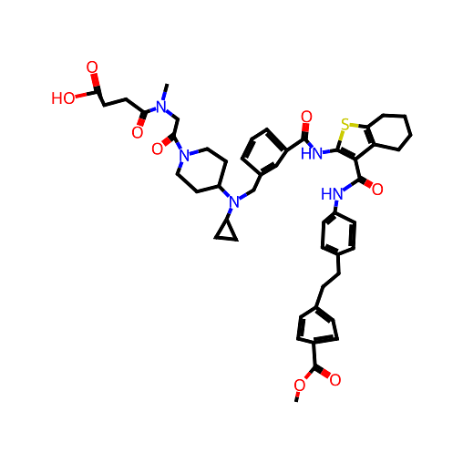 COC(=O)c1ccc(CCc2ccc(NC(=O)c3c(NC(=O)c4cccc(CN(C5CC5)C5CCN(C(=O)CN(C)C(=O)CCC(=O)O)CC5)c4)sc4c3CCCC4)cc2)cc1